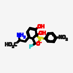 NC(CC1=CC=C(O)C(O)([S+]([O-])c2ccc([N+](=O)[O-])cc2)C1CF)C(=O)O